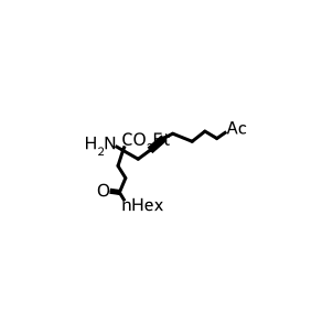 CCCCCCC(=O)CCC(N)(CC#CCCCCC(C)=O)C(=O)OCC